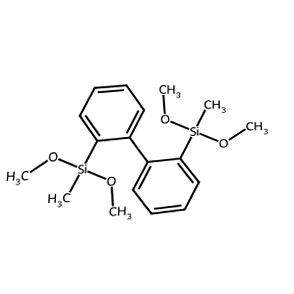 CO[Si](C)(OC)c1ccccc1-c1ccccc1[Si](C)(OC)OC